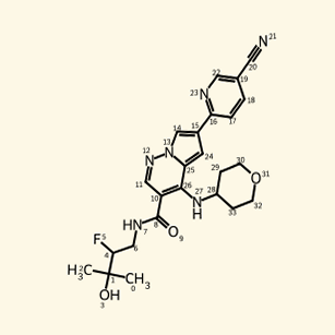 CC(C)(O)C(F)CNC(=O)c1cnn2cc(-c3ccc(C#N)cn3)cc2c1NC1CCOCC1